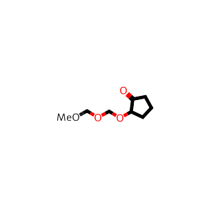 COCOCOC1CCCC1=O